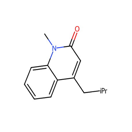 CC(C)Cc1cc(=O)n(C)c2ccccc12